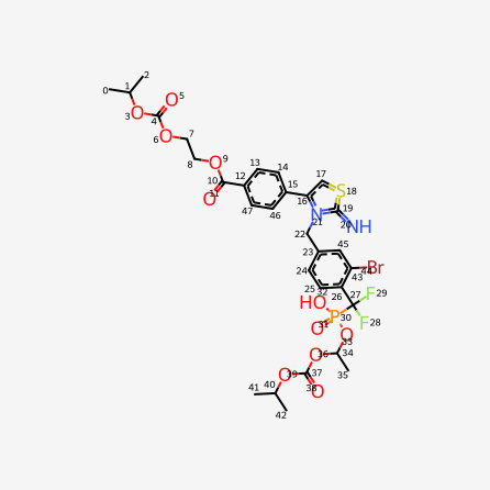 CC(C)OC(=O)OCCOC(=O)c1ccc(-c2csc(=N)n2Cc2ccc(C(F)(F)P(=O)(O)OC(C)OC(=O)OC(C)C)c(Br)c2)cc1